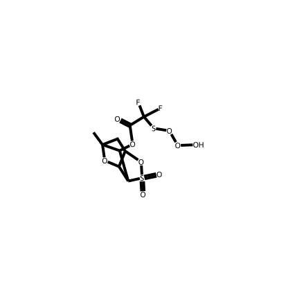 CC12CC3OS(=O)(=O)C(C3O1)C2OC(=O)C(F)(F)SOOO